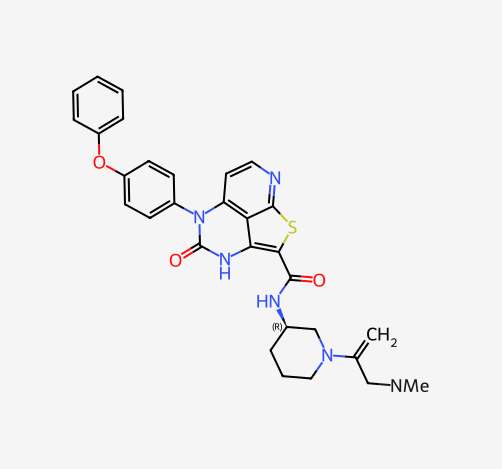 C=C(CNC)N1CCC[C@@H](NC(=O)c2sc3nccc4c3c2NC(=O)N4c2ccc(Oc3ccccc3)cc2)C1